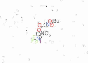 CC(C)(C)OC(=O)N1CCC(C(=O)COc2ccc3c(cc(I)n3C(F)C(F)F)c2[N+](=O)[O-])CC1